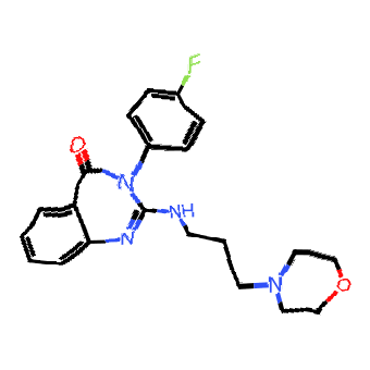 O=c1c2ccccc2nc(NCCCN2CCOCC2)n1-c1ccc(F)cc1